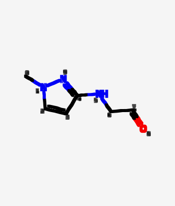 Cn1ccc(NC[C]=O)n1